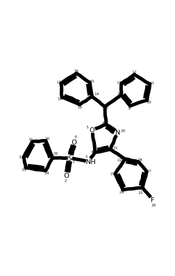 O=S(=O)(Nc1oc(C(c2ccccc2)c2ccccc2)nc1-c1ccc(F)cc1)c1ccccc1